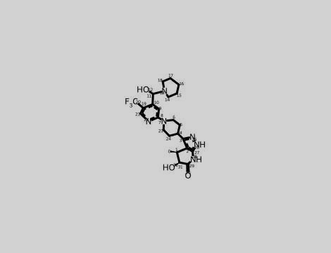 C[C@H]1c2c(C3CCN(c4cc(C(O)N5CCCCC5)c(C(F)(F)F)cn4)CC3)n[nH]c2NC(=O)[C@H]1O